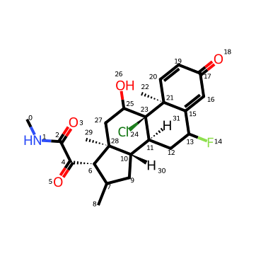 CNC(=O)C(=O)[C@H]1C(C)C[C@H]2[C@@H]3CC(F)C4=CC(=O)C=C[C@]4(C)[C@@]3(Cl)C(O)C[C@]12C